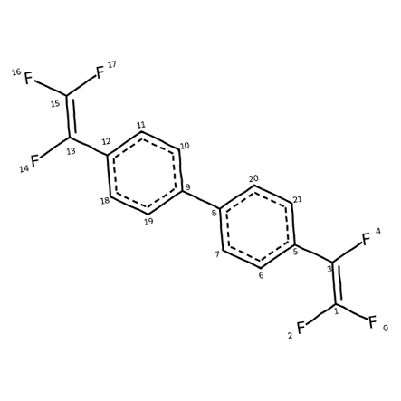 FC(F)=C(F)c1ccc(-c2ccc(C(F)=C(F)F)cc2)cc1